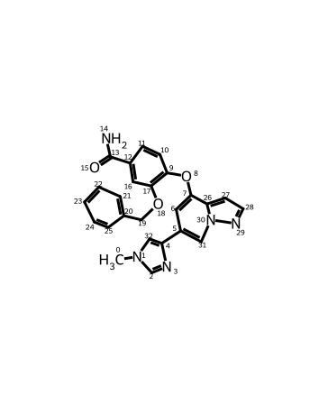 Cn1cnc(-c2cc(Oc3ccc(C(N)=O)cc3OCc3ccccc3)c3ccnn3c2)c1